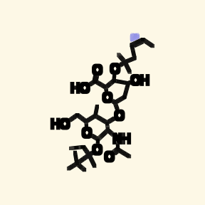 C/C=C\CC(C)(C)OC1C(O)CC(OC2C(C)C(CO)OC(OC(C)(CC)C(C)(C)C)C2NC(C)=O)OC1C(=O)O